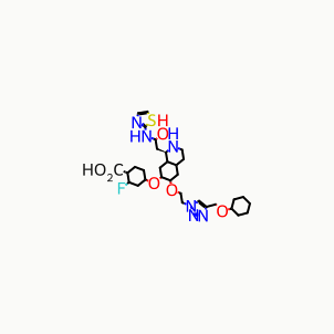 O=C(O)C1CCC(OC2CC3C(CCN[C@@H]3CC(O)Nc3nccs3)CC2OCCn2cc(COC3CCCCC3)nn2)CC1F